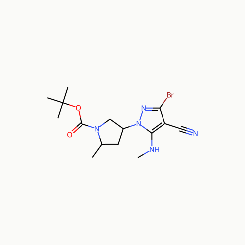 CNc1c(C#N)c(Br)nn1C1CC(C)N(C(=O)OC(C)(C)C)C1